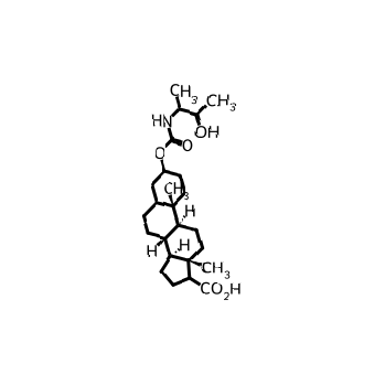 CC(O)C(C)NC(=O)OC1CC[C@@]2(C)C(CC[C@@H]3[C@@H]2CC[C@]2(C)C(C(=O)O)CC[C@@H]32)C1